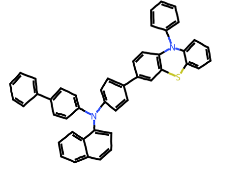 c1ccc(-c2ccc(N(c3ccc(-c4ccc5c(c4)Sc4ccccc4N5c4ccccc4)cc3)c3cccc4ccccc34)cc2)cc1